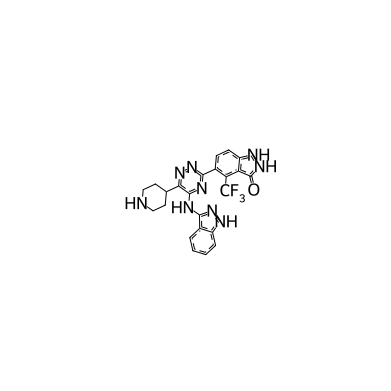 O=c1[nH][nH]c2ccc(-c3nnc(C4CCNCC4)c(Nc4n[nH]c5ccccc45)n3)c(C(F)(F)F)c12